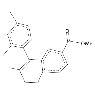 COC(=O)c1ccc2c(c1)C(c1ccc(C)cc1C)=C(C)CC2